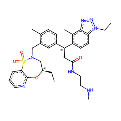 CC[C@@H]1CN(Cc2cc([C@H](CC(=O)NCCNC)c3ccc4c(nnn4CC)c3C)ccc2C)S(=O)(=O)c2cccnc2O1